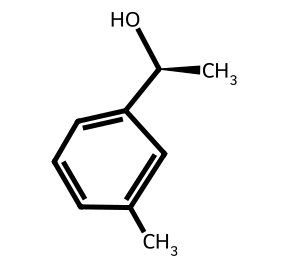 Cc1cccc([C@H](C)O)c1